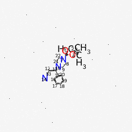 CC(C)(C)OC(=O)N1CCN(/C(=C/C#N)c2ccccc2)CC1